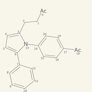 CC(=O)CCc1ccc(-c2ccccc2)n1-c1ccc(C(C)=O)cc1